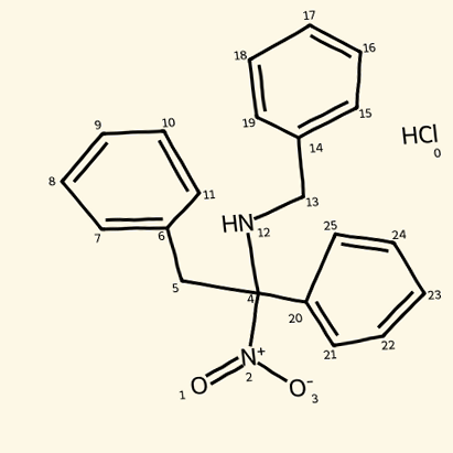 Cl.O=[N+]([O-])C(Cc1ccccc1)(NCc1ccccc1)c1ccccc1